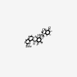 CSc1ncc2ncnc(Nc3c(F)c(F)cc(NS(=O)(=O)c4cccc(Cl)c4Cl)c3F)c2n1